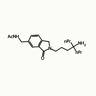 CCCC(N)(CCC)CCCN1Cc2ccc(CNC(C)=O)cc2C1=O